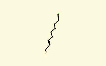 ClCCCCCCC=CCBr